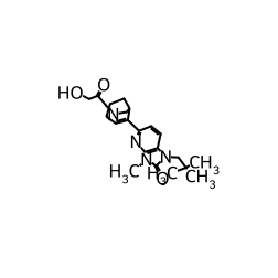 Cn1c(=O)n(CC(C)(C)C)c2ccc(C3=CC4CCC3CN4C(=O)CO)nc21